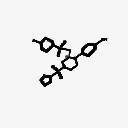 O=S(=O)(C[C@H]1CN(S(=O)(=O)c2cccs2)CCN1c1ccc(O)cc1)c1ccc(F)cc1